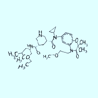 CCOCCN1C(=O)C(C)(C)Oc2ccc(N(C(=O)[C@H]3CNC[C@@H](C(=O)NC(COCC)CC(C)C)C3)C3CC3)cc21